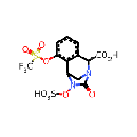 O=C(O)C1c2cccc(OS(=O)(=O)C(F)(F)F)c2C2CN1C(=O)N2OS(=O)(=O)O